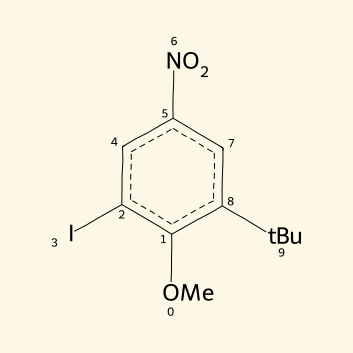 COc1c(I)cc([N+](=O)[O-])cc1C(C)(C)C